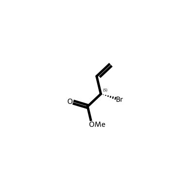 C=C[C@H](Br)C(=O)OC